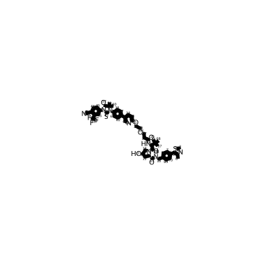 Cc1ncsc1-c1ccc(CNC(=O)[C@@H]2C[C@@H](O)CN2C(=O)C(NC(=O)CCOCCOc2ccc(-c3ccc(N4C(=S)N(c5ccc(C#N)c(C(F)(F)F)c5)C(=O)C4(C)C)cc3)cn2)C(C)(C)C)cc1